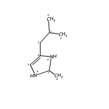 CC(C)CC1=CNC(C)N1